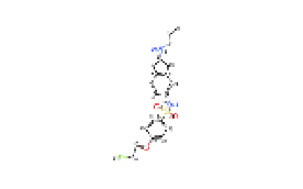 CCCNC1Cc2ccc(NS(=O)(=O)c3ccc(OCCF)cc3)cc2C1